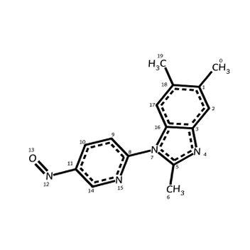 Cc1cc2nc(C)n(-c3ccc(N=O)cn3)c2cc1C